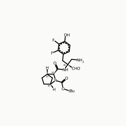 CC(C)(C)OC(=O)N1[C@@H]2CC[C@@H](C2)[C@H]1C(=O)N[C@@](C=O)(CN)Cc1ccc(O)c(F)c1F